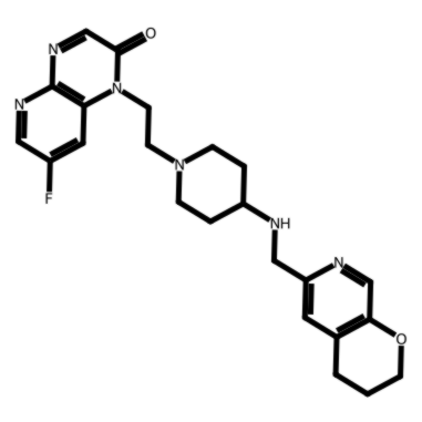 O=c1cnc2ncc(F)cc2n1CCN1CCC(NCc2cc3c(cn2)OCCC3)CC1